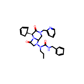 CCCN(C(=O)NCc1ccccc1)N1CC(=O)N2C1CN(Cc1ccccn1)C(=O)[C@@H]2C1C=CC=CC1